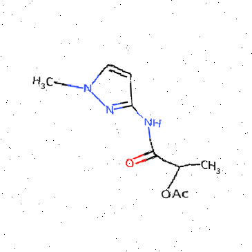 CC(=O)OC(C)C(=O)Nc1ccn(C)n1